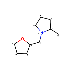 C[C]1CCCN1CC1CCCO1